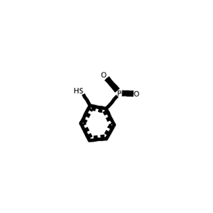 O=P(=O)c1ccccc1S